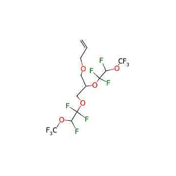 C=CCOCC(COC(F)(F)C(F)OC(F)(F)F)OC(F)(F)C(F)OC(F)(F)F